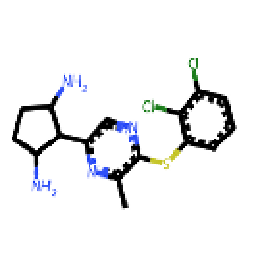 Cc1nc(C2C(N)CCC2N)cnc1Sc1cccc(Cl)c1Cl